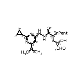 CCCCC[C@@H](CN(O)C=O)C(=O)NNc1cc(N(C)C)nc(C2CC2)n1